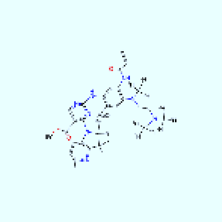 [2H]C([2H])([2H])N(CCN(C([2H])([2H])[2H])C([2H])([2H])[2H])c1cc(OC)c(Nc2ncc(C(=O)OC(C)C)c(N3c4ccc(C)nc4C(C)(C)C3([2H])[2H])n2)cc1NC(=O)C=C